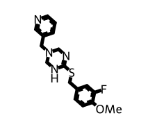 COc1ccc(CSC2=NCN(Cc3cccnc3)CN2)cc1F